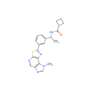 CC(NC(=O)C1CCC1)c1cccc(-c2nc3c(ncc4ncn(C)c43)s2)c1